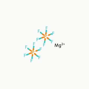 F[P-](F)(F)(F)(F)F.F[P-](F)(F)(F)(F)F.[Mg+2]